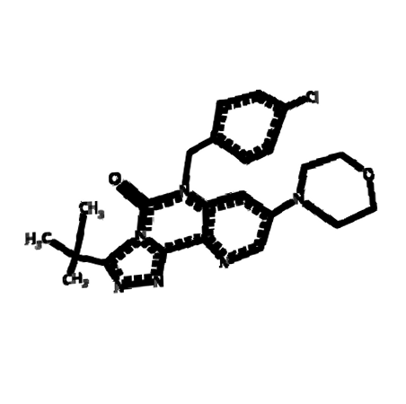 CC(C)(C)c1nnc2c3ncc(N4CCOCC4)cc3n(Cc3ccc(Cl)cc3)c(=O)n12